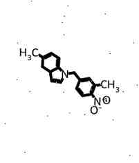 CC1=CC=C2C(C=CN2Cc2ccc([N+](=O)[O-])c(C)c2)C1